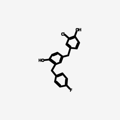 Oc1ccc(Cc2ccc(O)c(Cc3ccc(F)cc3)c2)cc1Cl